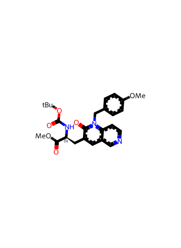 COC(=O)[C@H](Cc1cc2cnccc2n(Cc2ccc(OC)cc2)c1=O)NC(=O)OC(C)(C)C